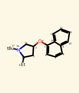 CCC1CC(Oc2cccc3ccccc23)CN1C(C)(C)C